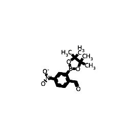 CC1(C)OB(c2cc([N+](=O)[O-])ccc2C=O)OC1(C)C